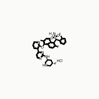 Cc1ccc2c(C(c3ccccc3F)S(N)(=O)=O)c(F)ccc2c1Oc1ncccc1-c1ccnc(N[C@@H]2CNC[C@@H](F)C2)n1.Cl